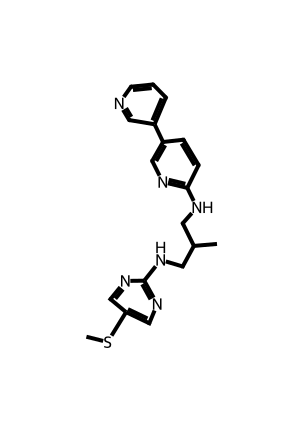 CSc1cnc(NCC(C)CNc2ccc(-c3cccnc3)cn2)nc1